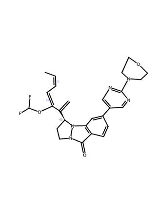 C=C(/C(=C\C=C/C)OC(F)F)[C@@H]1CCn2c(=O)c3ccc(-c4cnc(N5CCOCC5)nc4)cc3n21